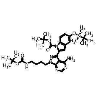 CC(C)(C)OC(=O)NCCCCn1nc(-c2cc3cc(O[Si](C)(C)C(C)(C)C)ccc3n2C(=O)OC(C)(C)C)c2c(N)ncnc21